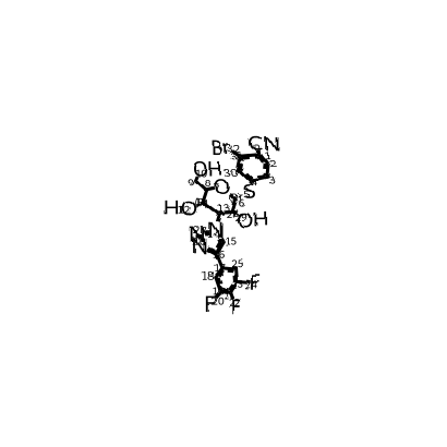 N#Cc1ccc(S[C@H]2OC(CO)[C@H](O)C(n3cc(-c4cc(F)c(F)c(F)c4)nn3)C2O)cc1Br